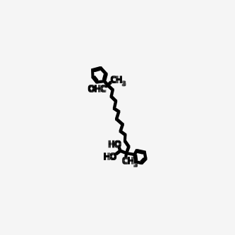 CC(C=O)(CCCCCCCCCCCC(C)(c1ccccc1)C(O)O)c1ccccc1